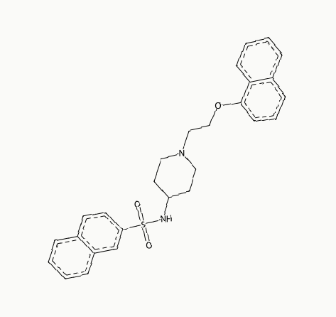 O=S(=O)(NC1CCN(CCOc2cccc3ccccc23)CC1)c1ccc2ccccc2c1